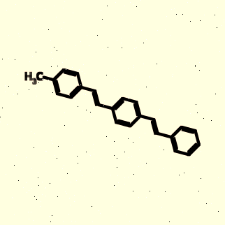 Cc1ccc(C=Cc2ccc(/C=C/c3ccccc3)cc2)cc1